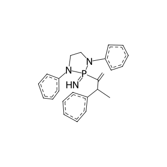 C=C(C(C)c1ccccc1)P1(=N)N(c2ccccc2)CCN1c1ccccc1